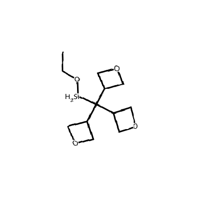 CCO[SiH2]C(C1COC1)(C1COC1)C1COC1